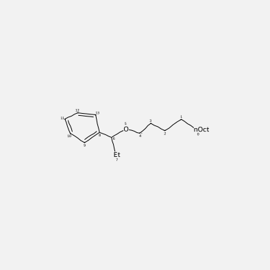 CCCCCCCCCCC[CH]OC(CC)c1ccccc1